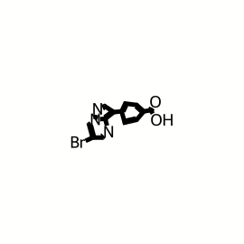 O=C(O)c1ccc(-c2cnn3cc(Br)cnc23)cc1